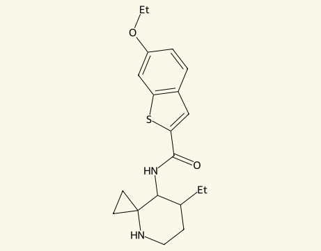 CCOc1ccc2cc(C(=O)NC3C(CC)CCNC34CC4)sc2c1